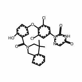 CC1(C)CN(C(=O)c2cc(Oc3c(Cl)cc(-n4ncc(=O)[nH]c4=O)cc3Cl)ccc2O)Cc2ccccc21